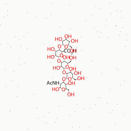 CC(=O)N[C@@H]1[C@@H](O[C@H]2O[C@H](CO)[C@@H](O)[C@H](O)[C@@H]2O[C@H]2O[C@H](CO)[C@@H](O)[C@H](O[C@H]3O[C@H](C(=O)O)[C@@H](O[C@H]4O[C@H](CO)[C@@H](O)[C@H](O)[C@H]4O)[C@H](O)[C@H]3O)[C@@H]2O)[C@@H](O)[C@@H](CO)O[C@H]1O